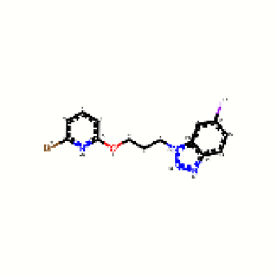 Brc1cccc(OCCCn2nnc3ccc(I)cc32)n1